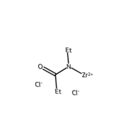 CCC(=O)[N]([Zr+2])CC.[Cl-].[Cl-]